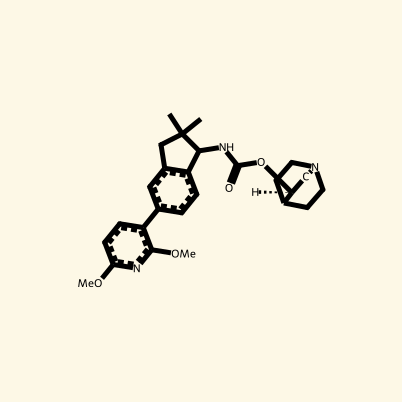 COc1ccc(-c2ccc3c(c2)CC(C)(C)C3NC(=O)O[C@H]2CN3CCC2CC3)c(OC)n1